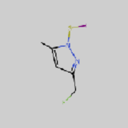 Cc1cc(CF)nn1SI